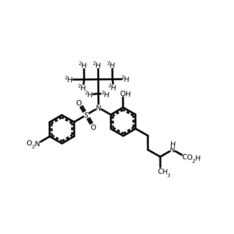 [2H]C([2H])([2H])C([2H])(C([2H])([2H])[2H])C([2H])([2H])N(c1ccc(CCC(C)NC(=O)O)cc1O)S(=O)(=O)c1ccc([N+](=O)[O-])cc1